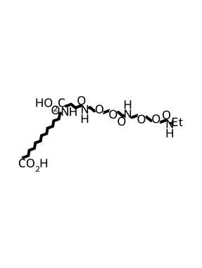 CCNC(=O)COCCOCCNC(=O)COCCOCCNC(=O)CC[C@H](NC(=O)CCCCCCCCCCCCC(=O)O)C(=O)O